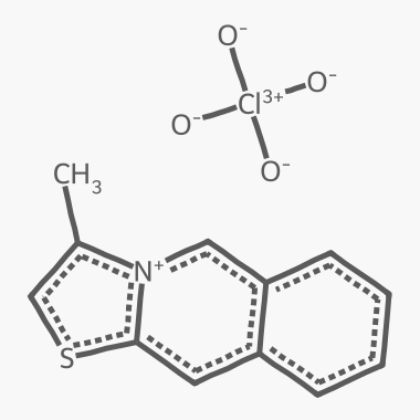 Cc1csc2cc3ccccc3c[n+]12.[O-][Cl+3]([O-])([O-])[O-]